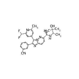 Cc1cc(-c2c(-c3cccc(C#N)c3)nc3ccc(C(=O)NC(C)C(C)(C)O)nn23)cc(C(F)F)n1